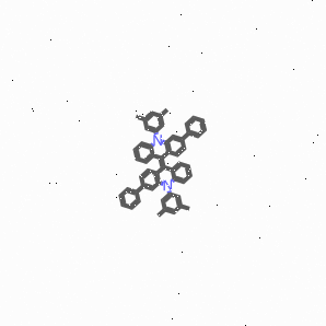 Cc1cc(C)cc(N2c3ccccc3/C(=C3/c4ccccc4N(c4cc(C)cc(C)c4)c4cc(-c5ccccc5)ccc43)c3ccc(-c4ccccc4)cc32)c1